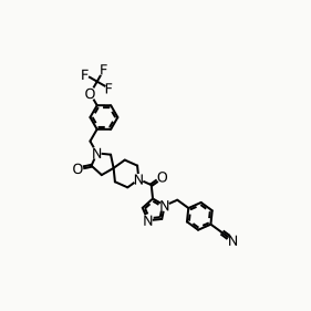 N#Cc1ccc(Cn2cncc2C(=O)N2CCC3(CC2)CC(=O)N(Cc2cccc(OC(F)(F)F)c2)C3)cc1